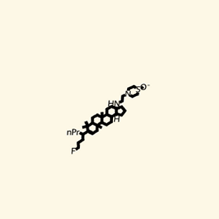 CCCC(CCCF)C1=CCC2(C)C(CCC3(C)C4CCC5(NCCN6CC[S+]([O-])CC6)CCC[C@@H]5C4CCC32)C1(C)C